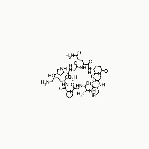 CC(C)C[C@H](NC(=O)CN1C(=O)CC[C@H](NC(=O)C(CCC(N)=O)NC(=O)CNC(=O)[C@@H]2C[C@@H](O)CN2)C1=O)C(=O)NC(C)C(=O)NCC(=O)N1CCC[C@H]1C(=O)N[C@@H](CCCCN)C(=O)O